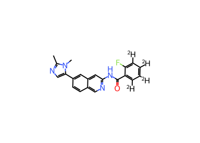 [2H]c1c([2H])c([2H])c(C(=O)Nc2cc3cc(-c4cnc(C)n4C)ccc3cn2)c(F)c1[2H]